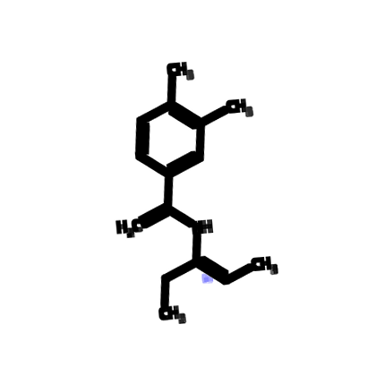 C=C(N/C(=C\C)CC)c1ccc(C)c(C)c1